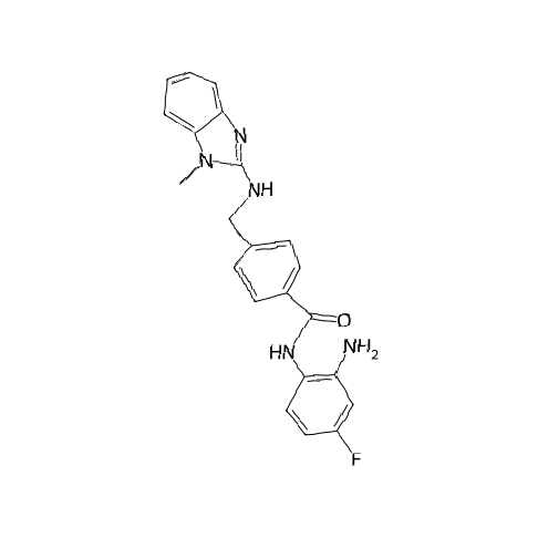 Cn1c(NCc2ccc(C(=O)Nc3ccc(F)cc3N)cc2)nc2ccccc21